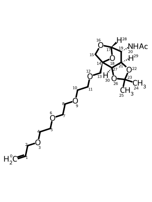 C=CCOCCOCCOCCOC[C@@]12CO[C@@H](O1)[C@H](NC(C)=O)[C@H]1OC(C)(C)O[C@H]12